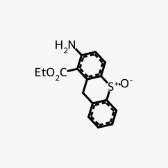 CCOC(=O)c1c(N)ccc2c1Cc1ccccc1[S+]2[O-]